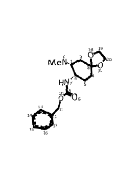 CN[C@@H]1CC2(CC[C@@H]1NC(=O)OCc1ccccc1)OCCO2